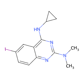 CN(C)c1nc(NC2CC2)c2cc(I)ccc2n1